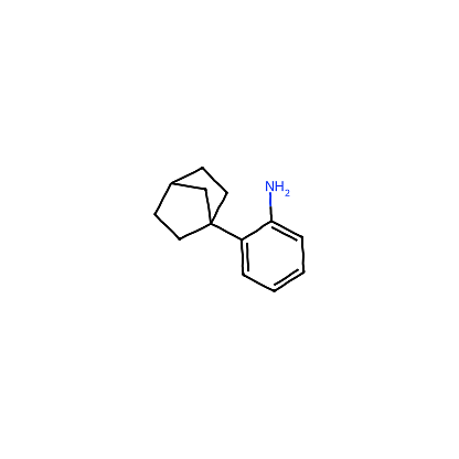 Nc1ccccc1C12CCC(CC1)C2